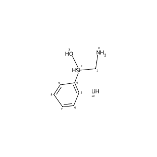 NC[SiH](O)c1ccccc1.[LiH]